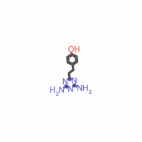 Nc1nc(N)nc(CCc2ccc(O)cc2)n1